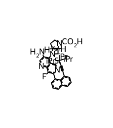 CC(C)[Si](C#Cc1cccc2cccc(-c3ncc4c(N5C[C@@H]6[C@H]5CCN6C(=O)O)c(N)cnc4c3F)c12)(C(C)C)C(C)C